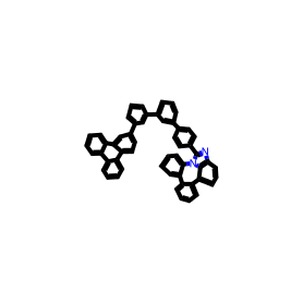 c1cc(-c2ccc(-c3nc4cccc5c4n3-c3ccccc3-c3ccccc3-5)cc2)cc(-c2cccc(-c3ccc4c5ccccc5c5ccccc5c4c3)c2)c1